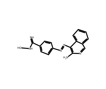 N=C(NO)c1ccc(/N=N/c2c(N)ncc3ccccc23)cc1